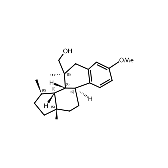 COc1ccc2c(c1)C[C@](C)(CO)[C@H]1[C@H]3[C@H](C)CC[C@@]3(C)CC[C@H]21